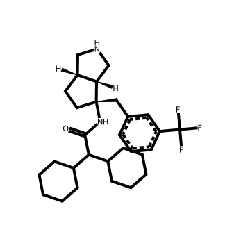 O=C(N[C@]1(Cc2cccc(C(F)(F)F)c2)CC[C@@H]2CNC[C@@H]21)C(C1CCCCC1)C1CCCCC1